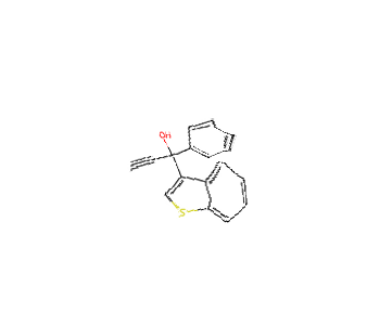 C#CC(O)(c1ccccc1)c1csc2ccccc12